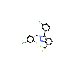 Fc1cc(Cl)ccc1Cn1nc2c(C(F)(F)F)cccc2c1-c1cccc(Cl)c1